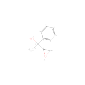 CC(O)(c1ccccc1)C1CO1